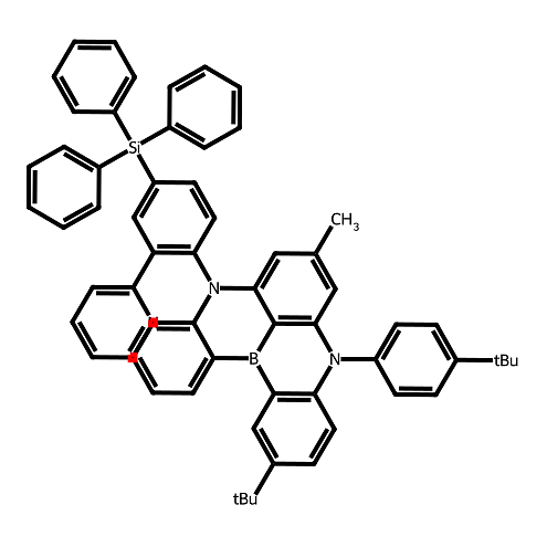 Cc1cc2c3c(c1)N(c1ccc([Si](c4ccccc4)(c4ccccc4)c4ccccc4)cc1-c1ccccn1)c1ccccc1B3c1cc(C(C)(C)C)ccc1N2c1ccc(C(C)(C)C)cc1